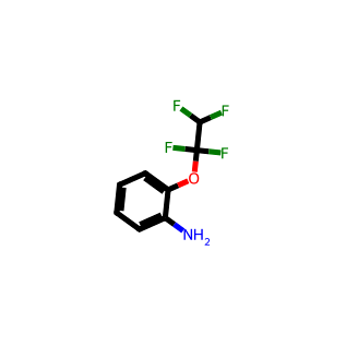 Nc1ccccc1OC(F)(F)C(F)F